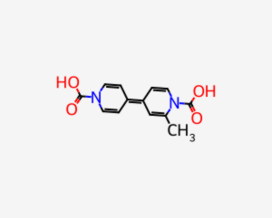 CC1=CC(=C2C=CN(C(=O)O)C=C2)C=CN1C(=O)O